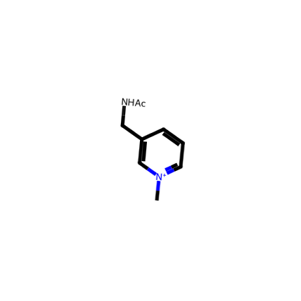 CC(=O)NCc1ccc[n+](C)c1